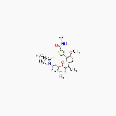 COc1ccc([C@@H](C)NC(=O)c2cc(N3C[C@H]4C[C@@H]3CN4C)ccc2C)cc1-c1csc(C(=O)NC2CC2)c1